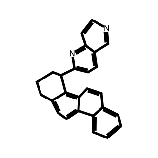 c1ccc2c(c1)ccc1c3c(ccc12)CCCC3c1ccc2cnccc2n1